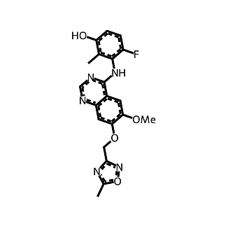 COc1cc2c(Nc3c(F)ccc(O)c3C)ncnc2cc1OCc1noc(C)n1